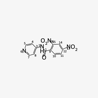 O=C(Nc1ccncc1)c1ccc([N+](=O)[O-])cc1[N+](=O)[O-]